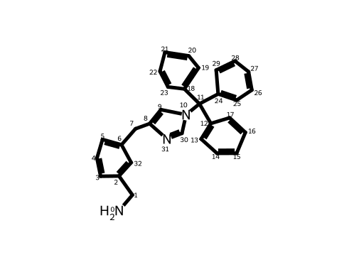 NCc1cccc(Cc2cn(C(c3ccccc3)(c3ccccc3)c3ccccc3)cn2)c1